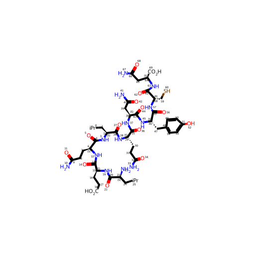 CC(C)C[C@H](NC(=O)[C@H](CCC(N)=O)NC(=O)[C@H](CCC(=O)O)NC(=O)[C@@H](N)CC(C)C)C(=O)N[C@@H](CCC(N)=O)C(=O)N[C@@H](CC(N)=O)C(=O)N[C@@H](Cc1ccc(O)cc1)C(=O)N[C@@H](CS)C(=O)N[C@@H](CC(N)=O)C(=O)O